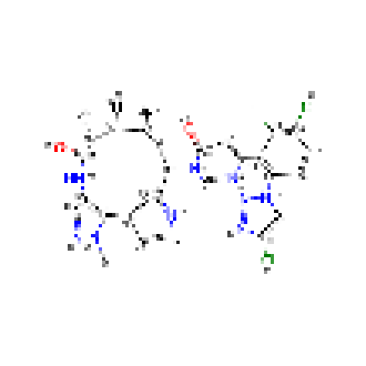 [2H]C1C[C@H](n2cnc(-c3c(-n4cc(Cl)nn4)ccc(Cl)c3F)cc2=O)c2cc(ccn2)-c2c(cnn2C)NC(=O)[C@H](C)C1[2H]